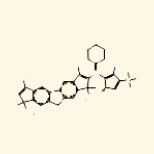 CC1=CC(C)(C)c2cc3c(cc21)-c1cc2c(cc1C3)C(C)(C)[C]([Zr+2]([C]1=C(C)C([Si](C)(C)C)=CC1C)=[C]1CCCCC1)=C2C.[Cl-].[Cl-]